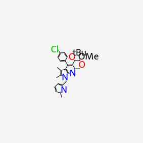 COC(=O)C(OC(C)(C)C)c1c(C)nc2c(c(C)c(C)n2Cc2cccc(C)n2)c1-c1ccc(Cl)cc1